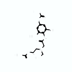 CCN(CCOC(C)=O)CC(=O)Nc1c(C)cc(OC(C)=O)cc1C